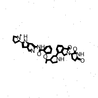 CC(Oc1ccccc1C(=O)Nc1cc2[nH]c([C@H]3CCCN3C)cc2cn1)C1CCNC(c2cccc3c2CN([C@@H]2CCC(=O)NC2=O)C3=O)C1